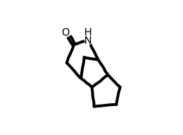 O=C1CC2CC(N1)C1CCCC21